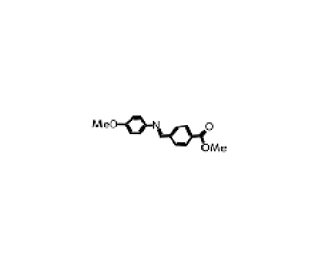 COC(=O)c1ccc(/C=N/c2ccc(OC)cc2)cc1